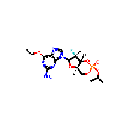 CCOc1nc(N)nc2c1ncn2C1O[C@@H]2COP(=O)(OC(C)C)O[C@H]2[C@@]1(C)F